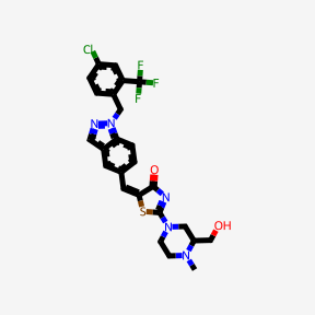 CN1CCN(C2=NC(=O)/C(=C\c3ccc4c(cnn4Cc4ccc(Cl)cc4C(F)(F)F)c3)S2)CC1CO